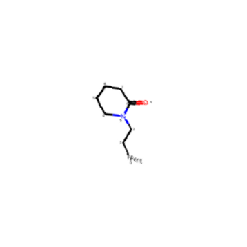 CCCCCCCN1CCCCC1=O